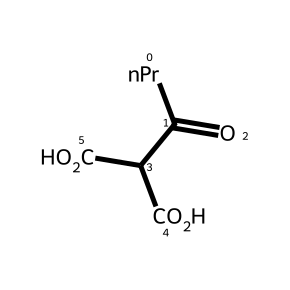 CCCC(=O)C(C(=O)O)C(=O)O